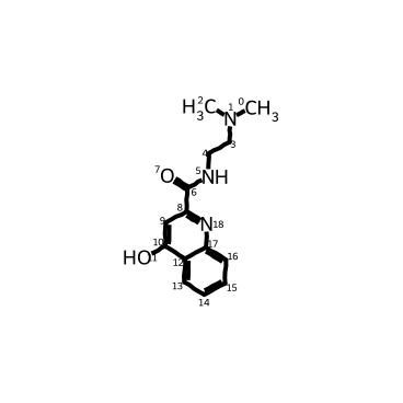 CN(C)CCNC(=O)c1cc(O)c2ccccc2n1